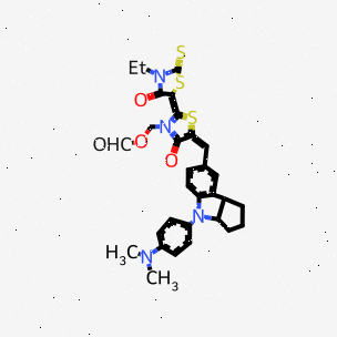 CCN1C(=O)/C(=c2/s/c(=C/c3ccc4c(c3)C3CCCC3N4c3ccc(N(C)C)cc3)c(=O)n2COC=O)SC1=S